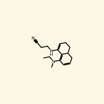 CCN(C)C1=C2C(NCCC#N)=CCCC2CC=C1